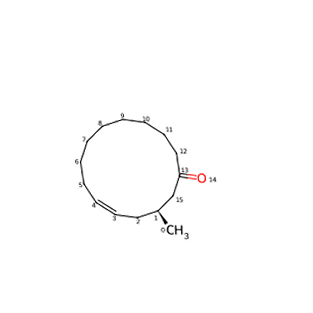 C[C@H]1CC=CCCCCCCCCC(=O)C1